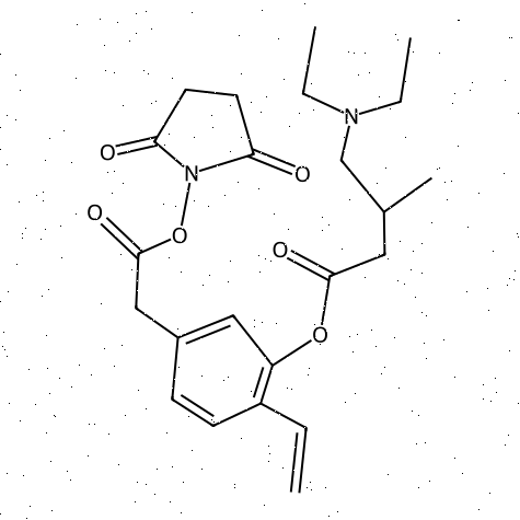 C=Cc1ccc(CC(=O)ON2C(=O)CCC2=O)cc1OC(=O)CC(C)CN(CC)CC